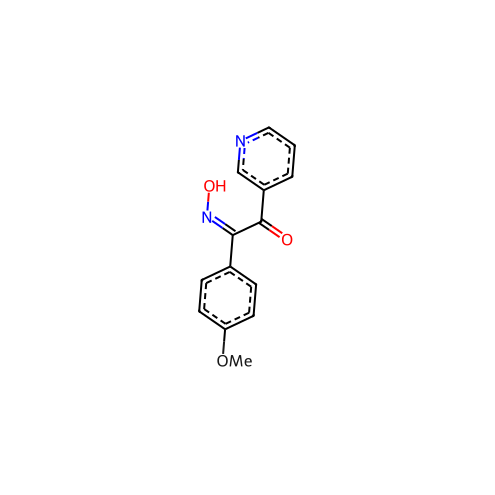 COc1ccc(C(=NO)C(=O)c2cccnc2)cc1